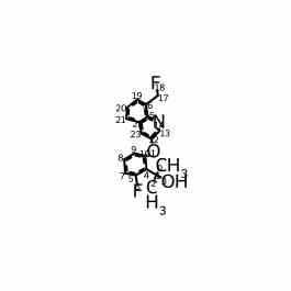 CC(C)(O)c1c(F)cccc1Oc1cnc2c(CF)cccc2c1